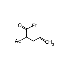 C=CCC(C(C)=O)C(=O)CC